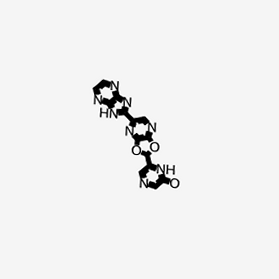 O=c1cncc(C2Oc3ncc(-c4nc5nccnc5[nH]4)nc3O2)[nH]1